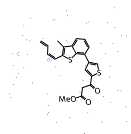 C=C/C=C\c1sc2c(-c3csc(C(=O)CC(=O)OC)c3)cccc2c1C